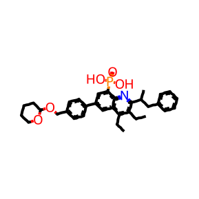 CCc1c(C(C)Cc2ccccc2)nc2c(P(=O)(O)O)cc(-c3ccc(COC4CCCCO4)cc3)cc2c1CC